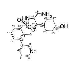 Cc1c(-c2cccnc2)cccc1S(=O)(=O)N[C@@H](CN)C(=O)N1CCC(O)CC1